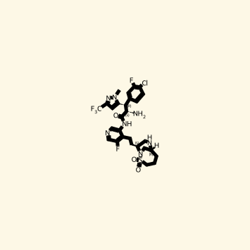 Cn1nc(C(F)(F)F)cc1[C@H](c1ccc(Cl)c(F)c1)[C@H](N)C(=O)Nc1cncc(F)c1CC[C@H]1CN[C@@H]2CCCS(=O)(=O)N1C2